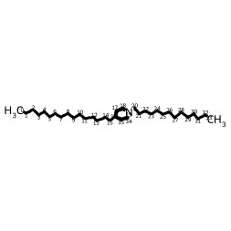 CCCCCCCCCCCCCCCCc1cc[n+](CCCCCCCCCCCCCC)cc1